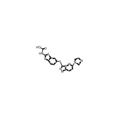 O=C(O)Nc1nc2ccc(Sc3nnc4ccc(-n5ccnc5)nn34)cc2s1